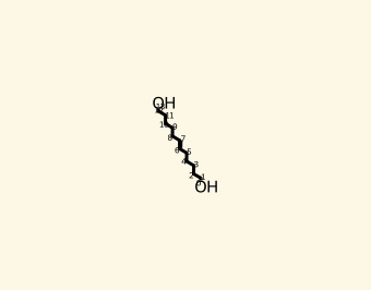 OCCCCC/C=C/CCCCCO